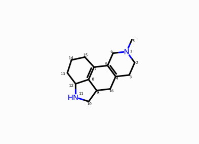 CN1CCC2=C(C1)C1=C3C(CNC3CCC1)C2